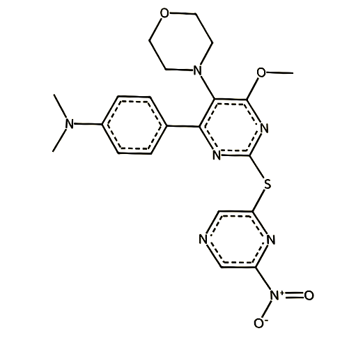 COc1nc(Sc2cncc([N+](=O)[O-])n2)nc(-c2ccc(N(C)C)cc2)c1N1CCOCC1